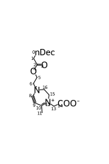 CCCCCCCCCCCC(=O)OCCN1C#CC(C)=[N+](CC(=O)[O-])CC1